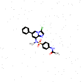 CC(=O)Nc1ccc(S(=O)(=O)N(C)c2cc(-c3ccccc3)cn3c(Br)cnc23)cc1